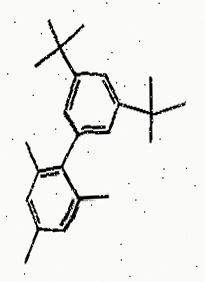 Cc1cc(C)c(-c2cc(C(C)(C)C)cc(C(C)(C)C)c2)c(C)c1